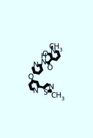 Cc1ncc(-c2cc(Oc3ccc(NC(=O)c4cccn(C)c4=O)nc3)ccn2)s1